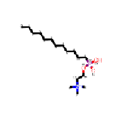 [CH2]CCCCCCCCCCCP(=O)(O)OCC[N+](C)(C)C